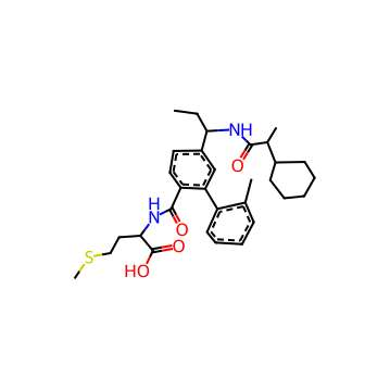 CCC(NC(=O)C(C)C1CCCCC1)c1ccc(C(=O)NC(CCSC)C(=O)O)c(-c2ccccc2C)c1